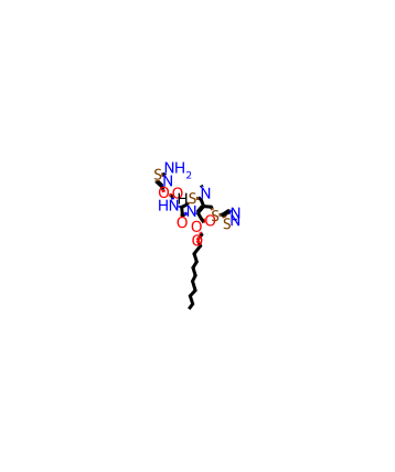 CCCCCCCCCCOCOC(=O)C1=C(CSc2cnns2)/C(=N/C)S[C@H]2[C@H](NC(=O)Oc3csc(N)n3)C(=O)N12